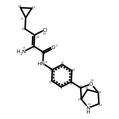 N/C(C(=O)Nc1ccc(C2OC3CNC2C3)cc1)=C(/Cl)CC1CC1